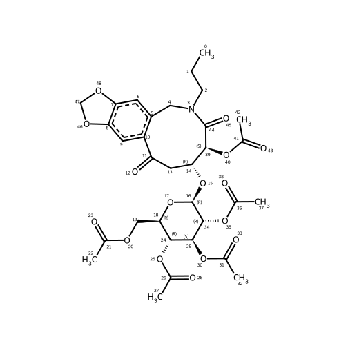 CCCN1Cc2cc3c(cc2C(=O)C[C@@H](O[C@@H]2O[C@H](COC(C)=O)[C@@H](OC(C)=O)[C@H](OC(C)=O)[C@H]2OC(C)=O)[C@H](OC(C)=O)C1=O)OCO3